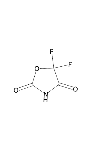 O=C1NC(=O)C(F)(F)O1